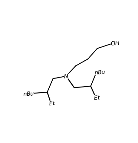 CCCCC(CC)CN(CCCO)CC(CC)CCCC